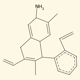 C=CC1=C(C)C(c2ccccc2C=C)C2C=C(C)C(N)C=C2C1